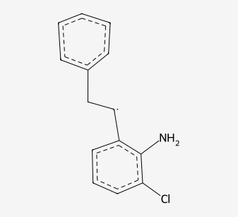 Nc1c(Cl)cccc1[CH]Cc1ccccc1